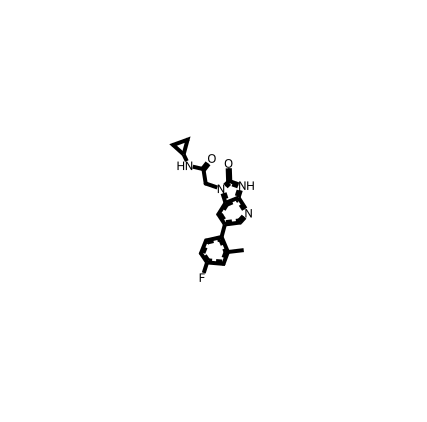 Cc1cc(F)ccc1-c1cnc2[nH]c(=O)n(CC(=O)NC3CC3)c2c1